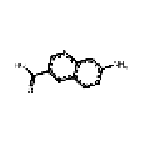 Nc1ccc2cc(C(=O)O)cnc2c1